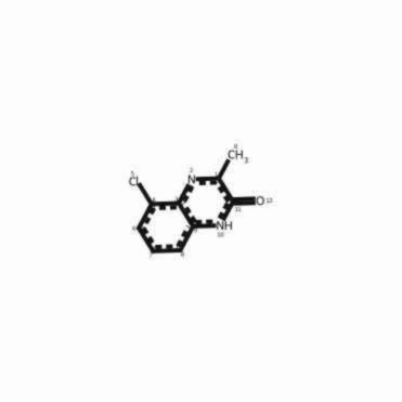 Cc1nc2c(Cl)cccc2[nH]c1=O